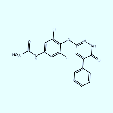 O=C(O)C(=O)Nc1cc(Cl)c(Oc2cc(-c3ccccc3)c(=O)[nH]n2)c(Cl)c1